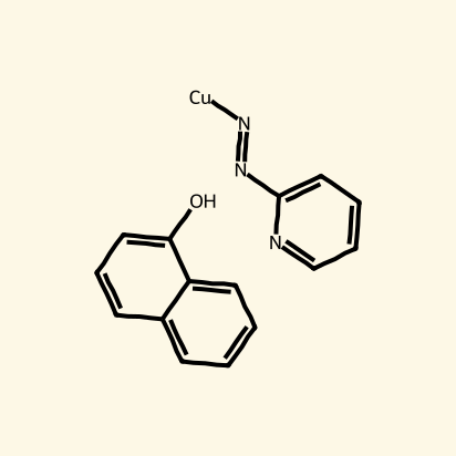 Oc1cccc2ccccc12.[Cu][N]=Nc1ccccn1